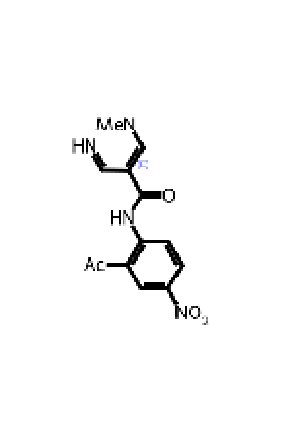 CN/C=C(\C=N)C(=O)Nc1ccc([N+](=O)[O-])cc1C(C)=O